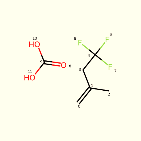 C=C(C)CC(F)(F)F.O=C(O)O